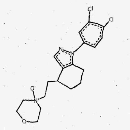 [O-][N+]1(CCC2CCCc3c2cnn3-c2ccc(Cl)c(Cl)c2)CCOCC1